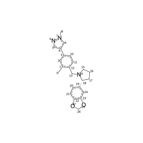 Cc1cc(-c2cnn(C)c2)ccc1CN1CCC[C@@H]1c1ccc2c(c1)OCO2